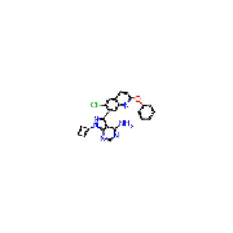 Nc1ncnc2c1c(-c1cc3nc(Oc4ccccc4)ccc3cc1Cl)nn2C1=CC=C1